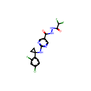 O=C(NNC(=O)C(F)F)c1cnc(NC2(c3ccc(Cl)cc3F)CC2)nc1